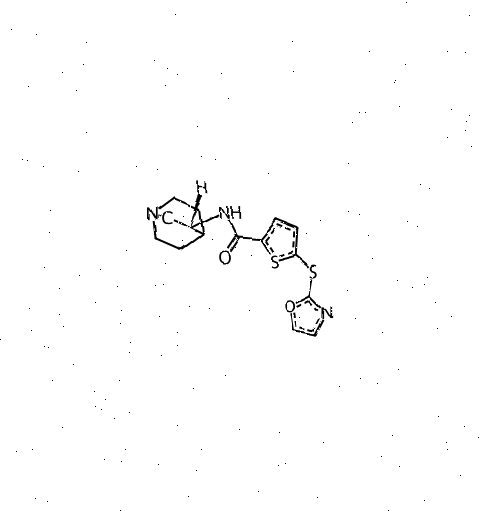 O=C(N[C@H]1CN2CCC1CC2)c1ccc(Sc2ncco2)s1